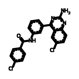 Nc1nc(-c2cccc(NC(=O)c3ccc(Cl)cc3)c2)c2cc(Cl)ccc2n1